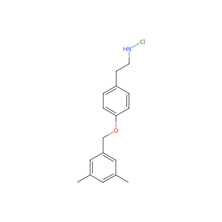 Cc1cc(C)cc(COc2ccc(CCNCl)cc2)c1